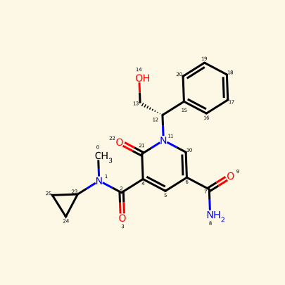 CN(C(=O)c1cc(C(N)=O)cn([C@H](CO)c2ccccc2)c1=O)C1CC1